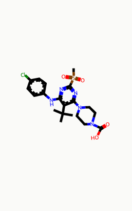 CC(C)(C)c1c(Nc2ccc(Cl)cc2)nc(S(C)(=O)=O)nc1N1CCN(C(=O)O)CC1